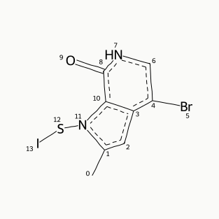 Cc1cc2c(Br)c[nH]c(=O)c2n1SI